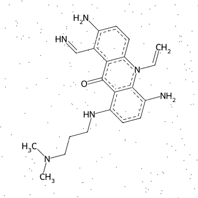 C=Cn1c2ccc(N)c(C=N)c2c(=O)c2c(NCCCN(C)C)ccc(N)c21